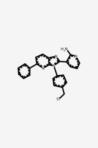 Nc1ncccc1-c1nc2ccc(-c3ccccc3)nc2n1-c1ccc(CCl)cc1